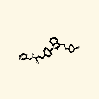 O=C(C=Cc1ccc(-n2cc(CCN3CCC(F)CC3)c3ccccc32)cc1)NCc1cccnc1